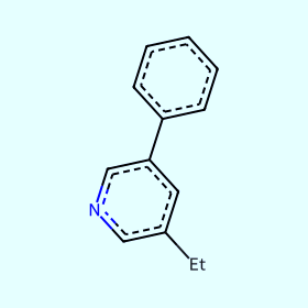 CCc1cncc(-c2ccccc2)c1